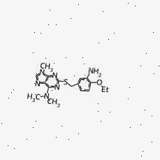 CCOc1ccc(CSc2nc(N(C)C)c3ncn(C)c3n2)cc1N